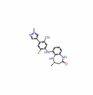 C[C@@H]1CC(=O)Nc2cccc(Nc3cc(C#N)c(-c4cnn(C)c4)cc3F)c2N1